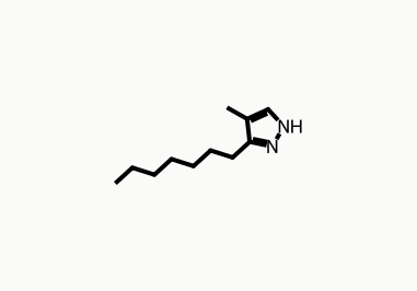 CCCCCCCc1n[nH]cc1C